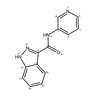 O=C(Nc1cccnc1)c1n[nH]c2ccccc12